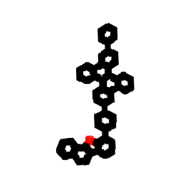 c1ccc(-c2ccc3c(c2)c2ccccc2c2c4ccc(-c5ccc(-c6cccc7c6oc6c8ccccc8ccc76)cc5)cc4c4ccccc4c32)cc1